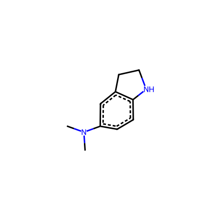 CN(C)c1ccc2c(c1)CCN2